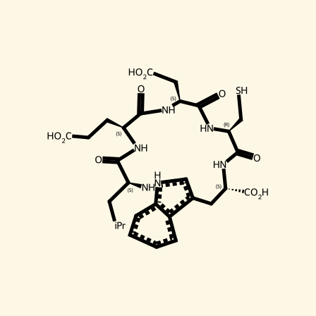 CC(C)C[C@H](N)C(=O)N[C@@H](CCC(=O)O)C(=O)N[C@@H](CC(=O)O)C(=O)N[C@@H](CS)C(=O)N[C@@H](Cc1c[nH]c2ccccc12)C(=O)O